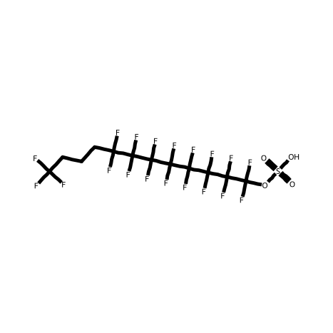 O=S(=O)(O)OC(F)(F)C(F)(F)C(F)(F)C(F)(F)C(F)(F)C(F)(F)C(F)(F)C(F)(F)CCCC(F)(F)F